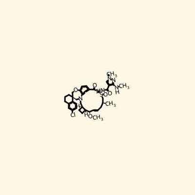 CNc1nn(C)cc1C(=O)N[S@@]1(=O)=NC(=O)c2ccc3c(c2)N(C[C@@H]2CC[C@H]2[C@@H](OC)/C=C/C[C@H](C)C1)C[C@@]1(CCCc2cc(Cl)ccc21)CO3